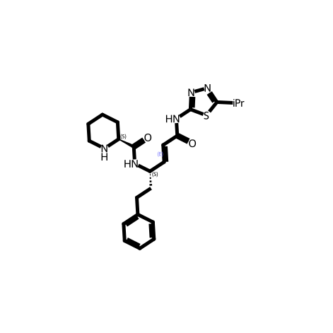 CC(C)c1nnc(NC(=O)/C=C/[C@H](CCc2ccccc2)NC(=O)[C@@H]2CCCCN2)s1